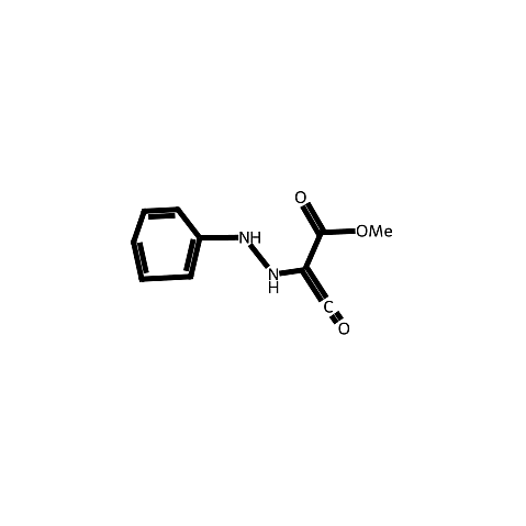 COC(=O)C(=C=O)NNc1ccccc1